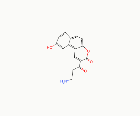 NCCC(=O)c1cc2c(ccc3ccc(O)cc32)oc1=O